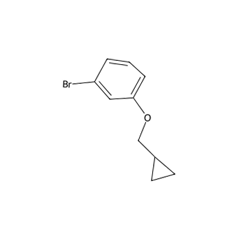 Brc1cccc(OCC2CC2)c1